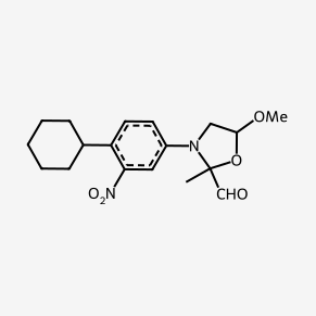 COC1CN(c2ccc(C3CCCCC3)c([N+](=O)[O-])c2)C(C)(C=O)O1